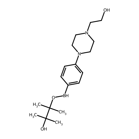 CC(C)(O)C(C)(C)OBc1ccc(N2CCN(CCO)CC2)cc1